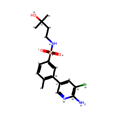 Cc1ccc(S(=O)(=O)NCCC(C)(C)O)cc1-c1cnc(N)c(Br)c1